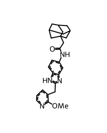 COc1ncccc1Cc1nc2cc(NC(=O)CC34CC5CC(CC(C5)C3)C4)ccc2[nH]1